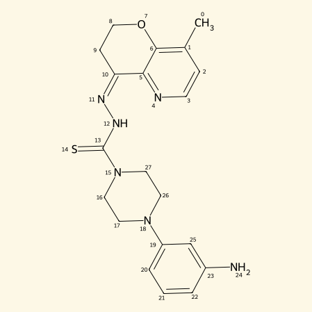 Cc1ccnc2c1OCC/C2=N/NC(=S)N1CCN(c2cccc(N)c2)CC1